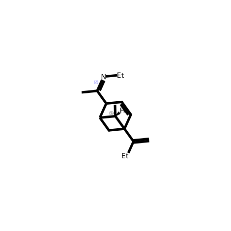 C=C(CC)C12C=CC(/C(C)=N\CC)C(C1)[C@@H]2C